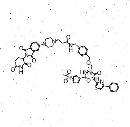 CS(=O)(=O)n1ccc(C(=O)N[C@@H](COCc2ccc(CNC(=O)CCN3CCN(c4ccc5c(c4)C(=O)N(C4CCC(=O)NC4=O)C5=O)CC3)cc2)C(=O)Nc2nc(-c3ccccc3)cs2)c1